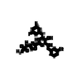 CCc1cccc(CNC[C@@H](O)[C@H](Cc2cc(F)cc(F)c2)NC(=O)c2nc(NS(C)(=O)=O)co2)c1